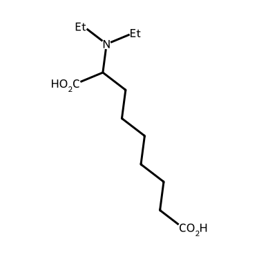 CCN(CC)C(CCCCCCC(=O)O)C(=O)O